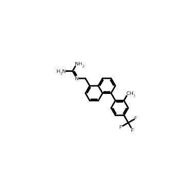 Cc1cc(C(F)(F)F)ccc1-c1cccc2c(CN=C(N)N)cccc12